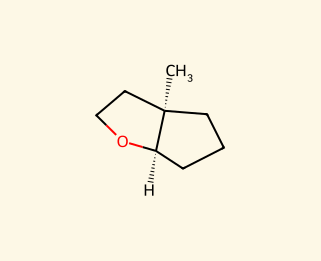 C[C@]12CCC[C@H]1OCC2